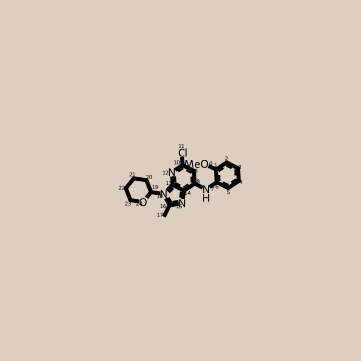 COc1ccccc1Nc1cc(Cl)nc2c1nc(C)n2C1CCCCO1